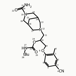 Cc1cc(C#N)ccc1OCC(CN1CC2CC(C1)CN(C(N)=O)C2)OC(=O)NC(C)(C)C